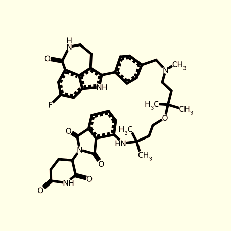 CN(CCC(C)(C)OCCC(C)(C)Nc1cccc2c1C(=O)N(C1CCC(=O)NC1=O)C2=O)Cc1ccc(-c2[nH]c3cc(F)cc4c3c2CCNC4=O)cc1